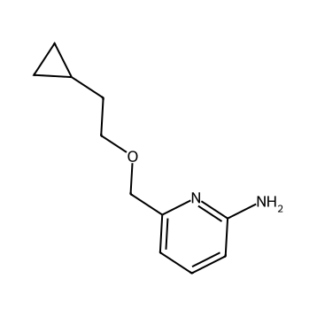 Nc1cccc(COCCC2CC2)n1